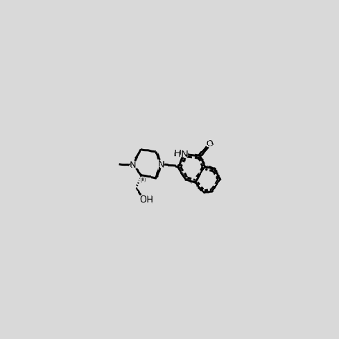 CN1CCN(c2cc3ccccc3c(=O)[nH]2)C[C@@H]1CO